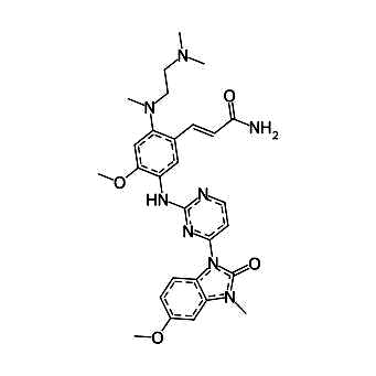 COc1ccc2c(c1)n(C)c(=O)n2-c1ccnc(Nc2cc(C=CC(N)=O)c(N(C)CCN(C)C)cc2OC)n1